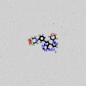 Nc1ncnn2c(-c3cccc(N4CCS(=O)(=O)CC4)c3)cc(-c3ccnn3C3CCOCC3)c12